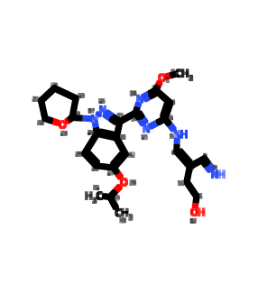 COc1cc(N/C=C(\C=N)CCO)nc(-c2nn(C3CCCCO3)c3ccc(OC(C)C)cc23)n1